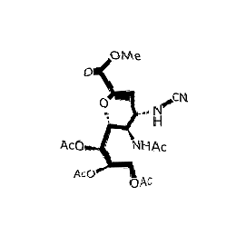 COC(=O)C1=C[C@H](NC#N)[C@@H](NC(C)=O)[C@H]([C@H](OC(C)=O)[C@@H](COC(C)=O)OC(C)=O)O1